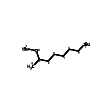 CC(CCCCCC(C)(C)C)OC(C)(C)C